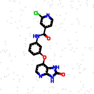 O=C(Nc1cccc(Oc2ccnc3[nH]c(=O)[nH]c23)c1)c1ccnc(Cl)c1